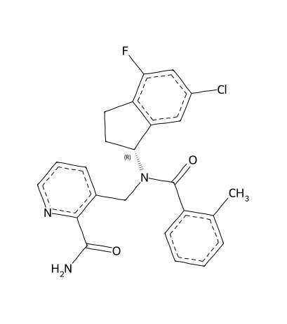 Cc1ccccc1C(=O)N(Cc1cccnc1C(N)=O)[C@@H]1CCc2c(F)cc(Cl)cc21